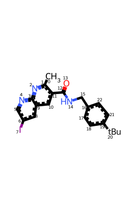 Cc1nc2ncc(I)cc2cc1C(=O)NCc1ccc(C(C)(C)C)cc1